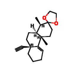 C#C[C@]12CCCC=C1[C@@]1(C)CCC3(OCCO3)[C@H](C)[C@@H]1CC2